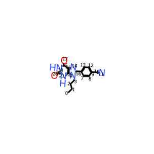 CCCCn1c(-c2ccc(C#N)cc2)nc2c(=O)[nH]c(=O)[nH]c21